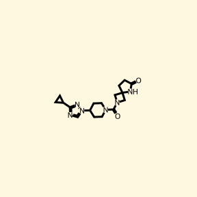 O=C1CCC2(CN(C(=O)N3CCC(n4cnc(C5CC5)n4)CC3)C2)N1